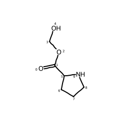 O=C(OCO)C1CCCN1